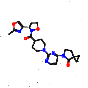 Cc1nc([C@@H]2CCON2C(=O)C2CCN(c3nccc(N4CCC5(CC5)C4=O)n3)CC2)co1